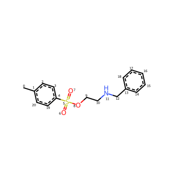 Cc1ccc(S(=O)(=O)OCCNCc2ccccc2)cc1